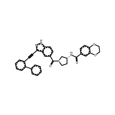 O=C(N[C@@H]1CCN(C(=O)c2ccc3[nH]nc(C#Cc4ccccc4-c4ccccc4)c3c2)C1)c1ccc2c(c1)OCCO2